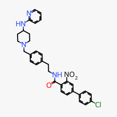 O=C(NCCc1ccc(CN2CCC(Nc3ccccn3)CC2)cc1)c1ccc(-c2ccc(Cl)cc2)cc1[N+](=O)[O-]